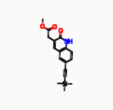 COC(=O)Cc1cc2cc(C#C[Si](C)(C)C)ccc2[nH]c1=O